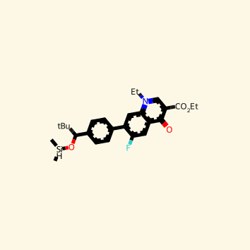 CCOC(=O)c1cn(CC)c2cc(-c3ccc(C(O[SiH](C)C)C(C)(C)C)cc3)c(F)cc2c1=O